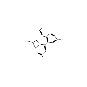 CNC1CN(/C(=C\C(C)=N)c2cc(Br)cnc2/N=C\N)C1